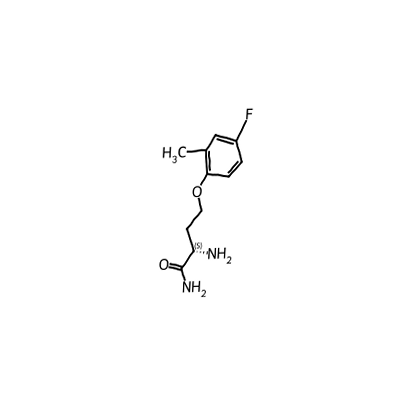 Cc1cc(F)ccc1OCC[C@H](N)C(N)=O